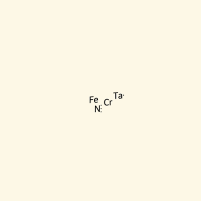 [Cr].[Fe].[N].[Ta]